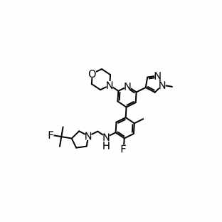 Cc1cc(F)c(NCN2CCC(C(C)(C)F)C2)cc1-c1cc(-c2cnn(C)c2)nc(N2CCOCC2)c1